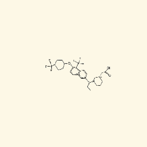 CCC(c1ccc2c(C(F)(F)F)c(OC3CCC(C(F)(F)F)CC3)ccc2c1)N1CCC[C@@H](CC(=O)O)C1